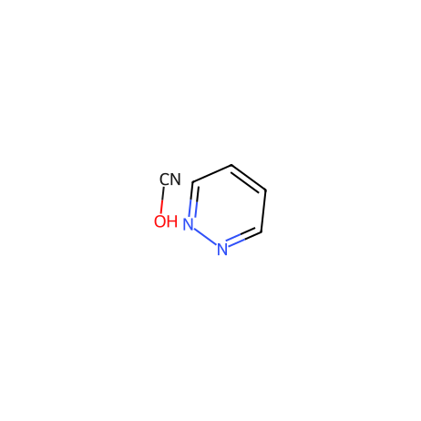 N#CO.c1ccnnc1